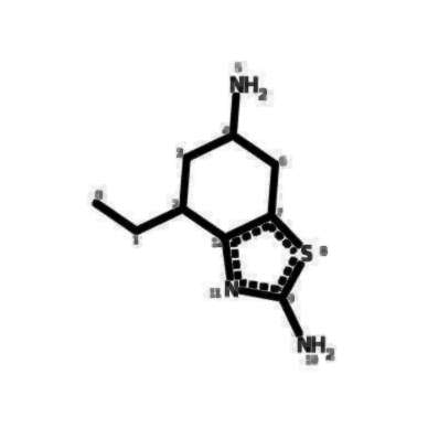 CCC1CC(N)Cc2sc(N)nc21